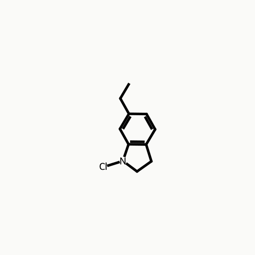 CCc1ccc2c(c1)N(Cl)CC2